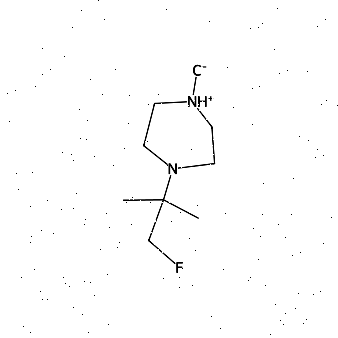 [CH2-][NH+]1CCN(C(C)(C)CF)CC1